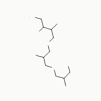 CC(CO)COCC(C)COCC(C)C(O)CO